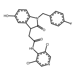 O=C(CC1C(=O)N(Cc2ccc(F)cc2)c2ccc(O)cc21)Nc1c(Cl)cncc1Cl